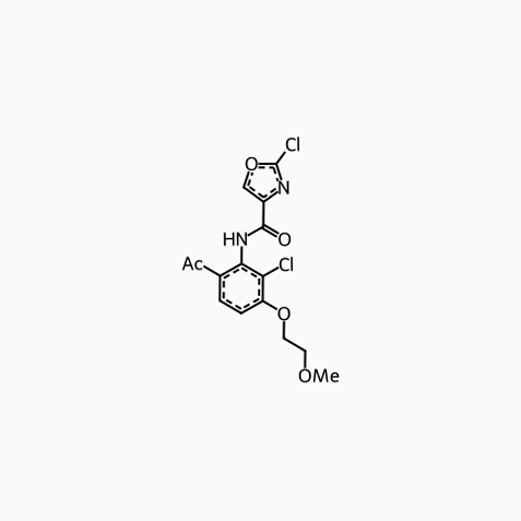 COCCOc1ccc(C(C)=O)c(NC(=O)c2coc(Cl)n2)c1Cl